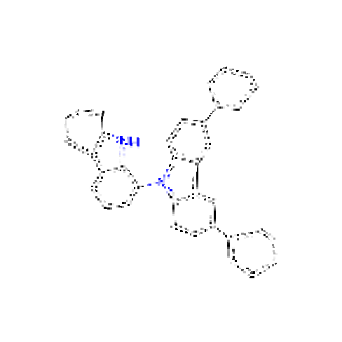 c1ccc(-c2ccc3c(c2)c2cc(-c4ccccc4)ccc2n3-c2cccc3c2[nH]c2ccccc23)cc1